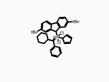 CC(C)(C)c1ccc2c(c1)[CH]([Hf]([Cl])([Cl])(=[C](c1ccccc1)C1CCCCC1)[CH]1C=CC=C1)c1cc(C(C)(C)C)ccc1-2